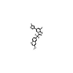 COc1cnc2ccc(C(F)(F)c3nnc4c(F)cc(-c5cnn(C)c5)cn34)cc2c1